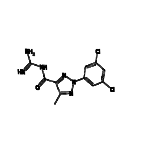 Cc1nn(-c2cc(Cl)cc(Cl)c2)nc1C(=O)NC(=N)N